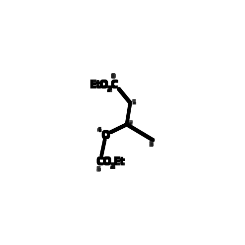 CCOC(=O)CC(C)OC(=O)OCC